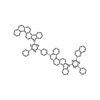 c1ccc(-c2nc(-c3ccc(-c4cc5ccc6c(ccc7c6c6ccccc6n7-c6nc(-c7ccccc7)nc(-c7ccc8ccccc8c7)n6)c5c5ccccc45)cc3)nc(-n3c4ccccc4c4c5ccc6ccc7ccccc7c6c5ccc43)n2)cc1